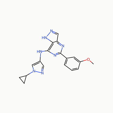 COc1cccc(-c2nc(Nc3cnn(C4CC4)c3)c3[nH]ncc3n2)c1